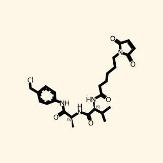 CC(C)[C@H](NC(=O)CCCCCN1C(=O)C=CC1=O)C(=O)N[C@@H](C)C(=O)Nc1ccc(CCl)cc1